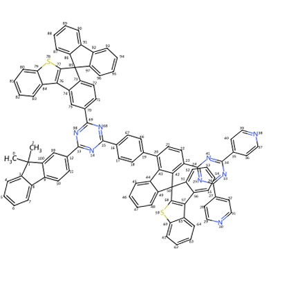 CC1(C)c2ccccc2-c2ccc(-c3nc(-c4ccc(-c5ccc(-c6nc(-c7ccncc7)nc(-c7ccncc7)n6)c6c5-c5ccccc5C65c6ccccc6-c6c5sc5ccccc65)cc4)nc(-c4ccc5c(c4)-c4c(sc6ccccc46)C54c5ccccc5-c5ccccc54)n3)cc21